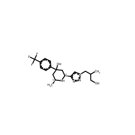 CC(CO)Cn1cc([C@@H]2CC(O)(c3ccc(C(F)(F)F)cc3)C[C@H](C)N2)nn1